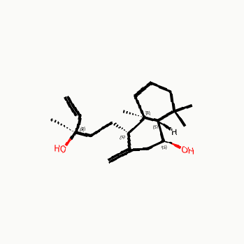 C=C[C@](C)(O)CC[C@H]1C(=C)C[C@H](O)[C@H]2C(C)(C)CCC[C@]12C